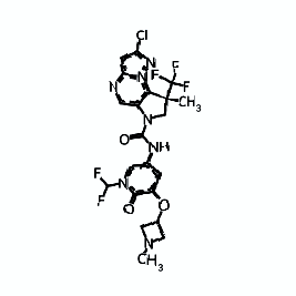 CN1CC(Oc2cc(NC(=O)N3C[C@@](C)(C(F)(F)F)c4c3cnc3cc(Cl)nn43)cn(C(F)F)c2=O)C1